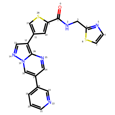 O=C(NCc1nccs1)c1cc(-c2cnn3cc(-c4cccnc4)cnc23)cs1